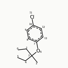 CCC(C)(CC)Oc1ccc(Cl)cc1